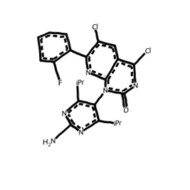 CC(C)c1nc(N)nc(C(C)C)c1-n1c(=O)nc(Cl)c2cc(Cl)c(-c3ccccc3F)nc21